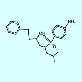 CC(C)CN(C[C@H](O)[CH]Cc1ccccc1)S(=O)(=O)c1ccc(N)cc1